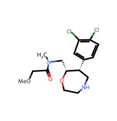 COCC(=O)N(C)C[C@H]1OCCNC[C@H]1c1ccc(Cl)c(Cl)c1